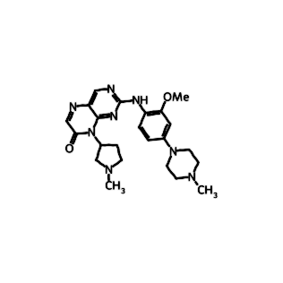 COc1cc(N2CCN(C)CC2)ccc1Nc1ncc2ncc(=O)n(C3CCN(C)C3)c2n1